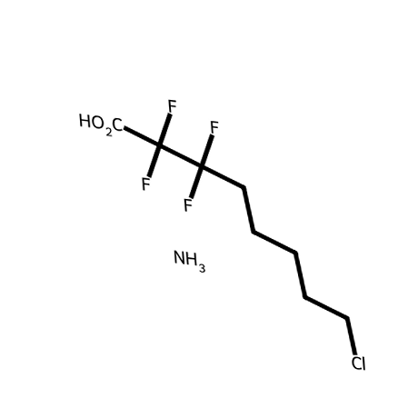 N.O=C(O)C(F)(F)C(F)(F)CCCCCCl